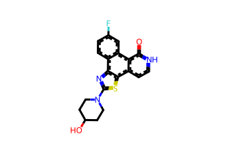 O=c1[nH]ccc2c3sc(N4CCC(O)CC4)nc3c3ccc(F)cc3c12